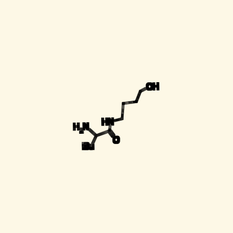 CCC(C)C(N)C(=O)NCCCCO